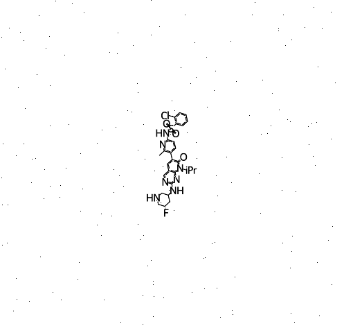 Cc1nc(NS(=O)(=O)c2ccccc2Cl)ccc1-c1cc2cnc(N[C@@H]3CNC[C@@H](F)C3)nc2n(C(C)C)c1=O